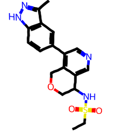 CCS(=O)(=O)NC1COCc2c(-c3ccc4[nH]nc(C)c4c3)cncc21